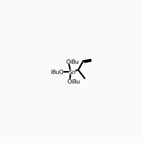 C=C[CH](C)[Sn]([O]CC(C)C)([O]CC(C)C)[O]CC(C)C